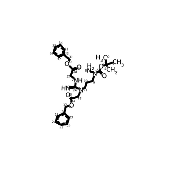 CC(C)(C)OC(=O)N(N)CCCN(CC(=O)OCc1ccccc1)C(=N)NCC(=O)OCc1ccccc1